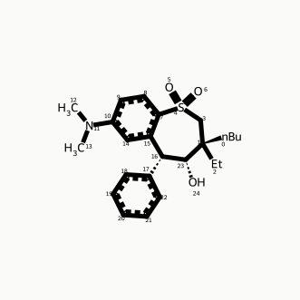 CCCC[C@]1(CC)CS(=O)(=O)c2ccc(N(C)C)cc2[C@@H](c2ccccc2)[C@H]1O